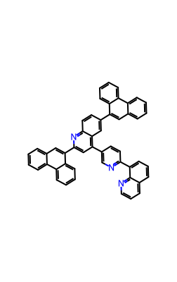 c1cnc2c(-c3ccc(-c4cc(-c5cc6ccccc6c6ccccc56)nc5ccc(-c6cc7ccccc7c7ccccc67)cc45)cn3)cccc2c1